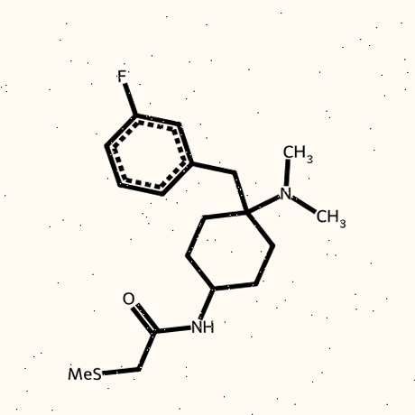 CSCC(=O)NC1CCC(Cc2cccc(F)c2)(N(C)C)CC1